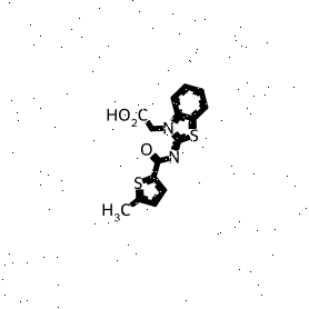 Cc1ccc(C(=O)N=c2sc3ccccc3n2CC(=O)O)s1